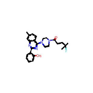 Cc1ccc2c(N3CCN(C(=O)CCC(C)(C)F)CC3)nc(-c3ccccc3O)nc2c1